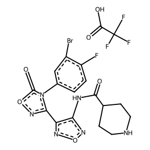 O=C(Nc1nonc1-c1noc(=O)n1-c1ccc(F)c(Br)c1)C1CCNCC1.O=C(O)C(F)(F)F